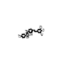 COc1ccc(S(=O)(=O)Nc2cc(C=Cc3cc(OC)c(OC)c(OC)c3)ccc2OC)cc1